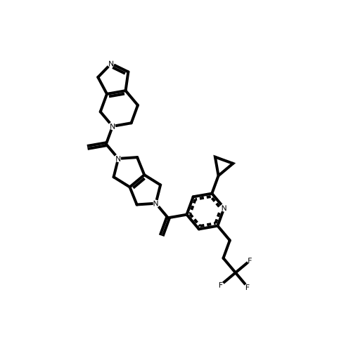 C=C(c1cc(CCC(F)(F)F)nc(C2CC2)c1)N1CC2=C(C1)CN(C(=C)N1CCC3=C(CN=C3)C1)C2